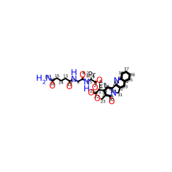 CC[C@@]1(OC(=O)[C@@H](NC(=O)CNC(=O)CCCC(N)=O)C(C)C)C(=O)OCc2c1cc1n(c2=O)Cc2cc3ccccc3nc2-1